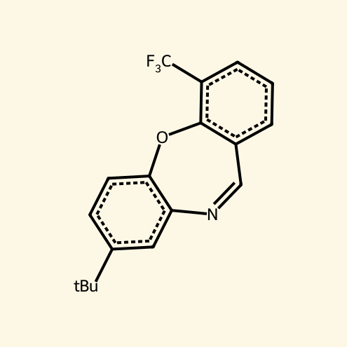 CC(C)(C)c1ccc2c(c1)N=Cc1cccc(C(F)(F)F)c1O2